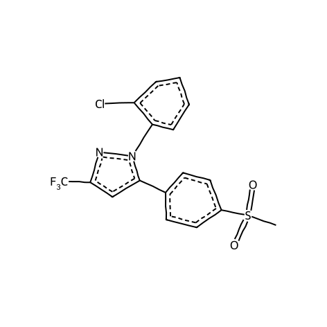 CS(=O)(=O)c1ccc(-c2cc(C(F)(F)F)nn2-c2ccccc2Cl)cc1